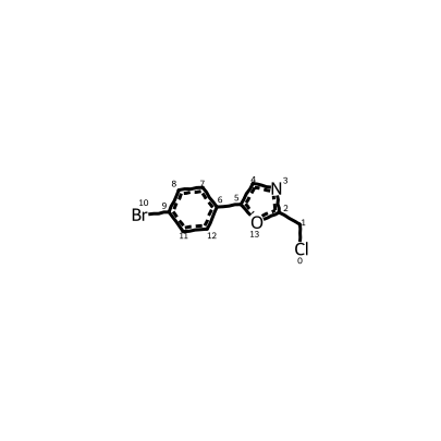 ClCc1ncc(-c2ccc(Br)cc2)o1